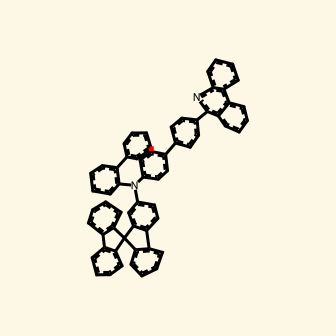 c1ccc(-c2ccccc2N(c2ccc(-c3ccc(-c4nc5ccccc5c5ccccc45)cc3)cc2)c2ccc3c(c2)C2(c4ccccc4-c4ccccc42)c2ccccc2-3)cc1